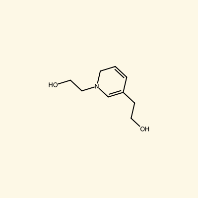 OCCC1=CN(CCO)CC=C1